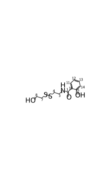 O=C(NCCSSCCO)c1ccccc1O